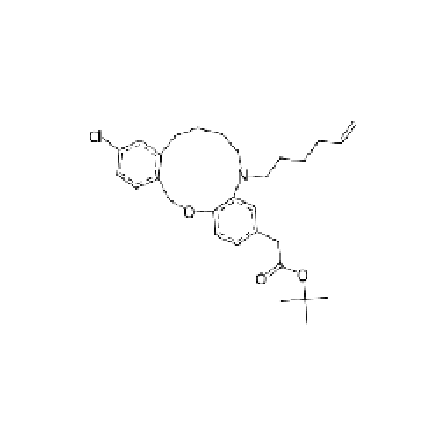 C=CCCCCN1CCCCc2cc(Cl)ccc2COc2ccc(CC(=O)OC(C)(C)C)cc21